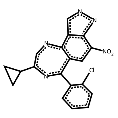 O=[N+]([O-])c1cc2c(-c3ccccc3Cl)nc(C3CC3)cnc2c2cnnc12